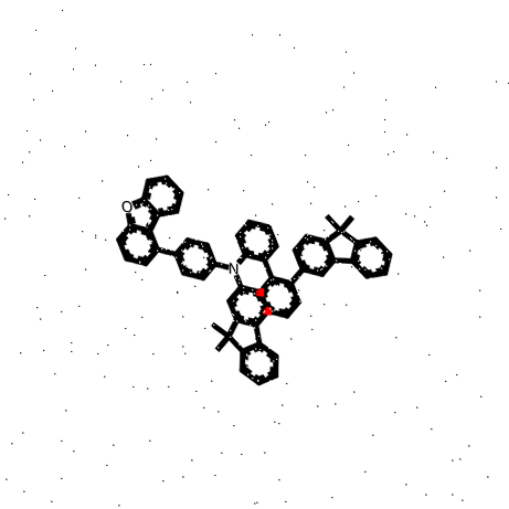 CC1(C)c2ccccc2-c2cc(-c3ccccc3-c3ccccc3N(c3ccc(-c4cccc5oc6ccccc6c45)cc3)c3ccc4c(c3)C(C)(C)c3ccccc3-4)ccc21